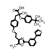 Cc1oc(-c2cccc(-c3ccsc3)c2)nc1CCOc1ccc(CC(C)(Oc2ccc(C(C)(C)C)cc2)C(=O)O)cc1